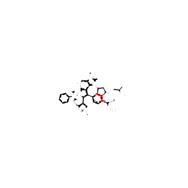 CC(O)CO[C@@H]1C[C@@H](n2c(=O)n(C)c3cnc4c(c(-c5ccc(O)cc5)c(-c5cn(C)nc5F)n4S(=O)(=O)c4ccccc4)c32)C[C@@H]1NC(=O)OC(C)(C)C